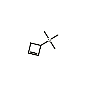 C[Si](C)(C)C1C=CC1